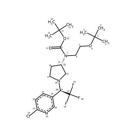 CC(C)(C)OCCN(C(=O)OC(C)(C)C)[C@H]1CCN([C@H](c2ccc(Cl)nc2)C(F)(F)F)C1